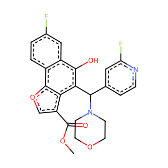 COC(=O)c1coc2c1c(C(c1ccnc(F)c1)N1CCOCC1)c(O)c1cc(F)ccc12